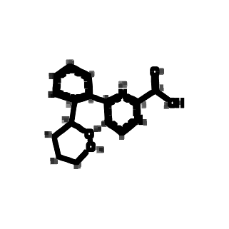 O=C(O)c1nccc(-c2ccccc2C2CCCOO2)n1